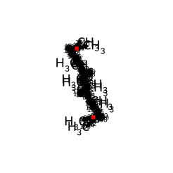 CCCCCCCCC1(CCCCCC)c2ccccc2-c2ccc(-c3ccc4c(c3)C(C)(C)c3cc(-c5ccc(-c6cc7c(c8oc9ccccc9c68)-c6cc8c(cc6[Si]7(C)C)-c6c(cc(-c7ccc(-c9ccc%10c(c9)C(C)(C)c9cc(-c%11ccc%12c(c%11)C(CCCCCCCC)(CCCCCCCC)c%11ccccc%11-%12)ccc9-%10)cc7)c7c6oc6ccccc67)[Si]8(C)C)cc5)ccc3-4)cc21